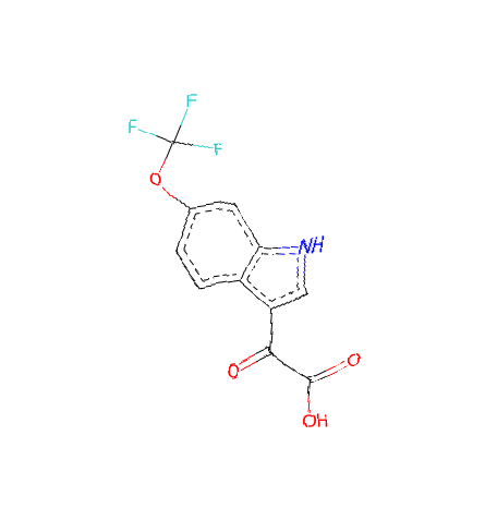 O=C(O)C(=O)c1c[nH]c2cc(OC(F)(F)F)ccc12